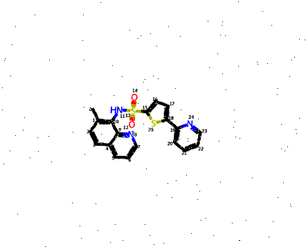 Cc1ccc2cccnc2c1NS(=O)(=O)c1ccc(-c2ccccn2)s1